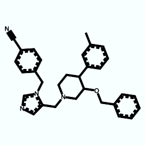 Cc1cccc(C2CCN(Cc3cncn3Cc3ccc(C#N)cc3)CC2OCc2ccccc2)c1